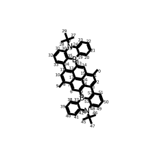 Cc1cc2c3c(cc4c(C)cc5c6c(cc1c3c46)B1c3ccccc3N(C(C)(C)C)c3cccc-5c31)B1c3ccccc3N(C(C)(C)C)c3cccc-2c31